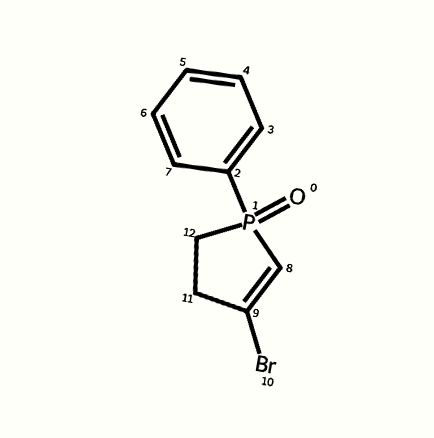 O=P1(c2ccccc2)C=C(Br)CC1